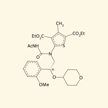 CCOC(=O)c1sc(N(C[C@H](OC2CCOCC2)c2ccccc2OC)C(=O)NC(C)=O)c(C(=O)OCC)c1C